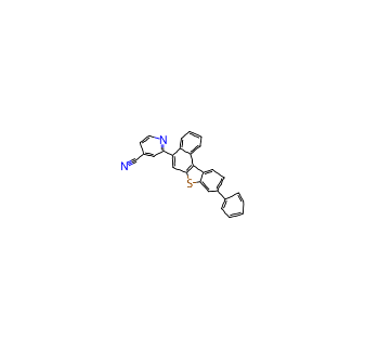 N#Cc1ccnc(-c2cc3sc4cc(-c5ccccc5)ccc4c3c3ccccc23)c1